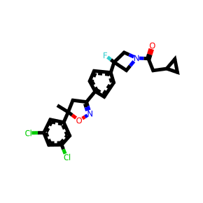 CC1(c2cc(Cl)cc(Cl)c2)CC(c2ccc(C3(F)CN(C(=O)CC4CC4)C3)cc2)=NO1